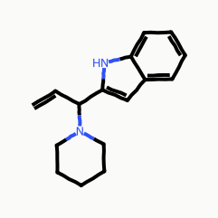 C=CC(c1cc2ccccc2[nH]1)N1CCCCC1